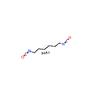 O=C=NCCCCCCN=C=O.[AtH]